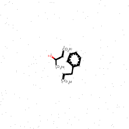 O=C(O)CC(O)C(=O)O.O=C(O)CCc1ccccc1